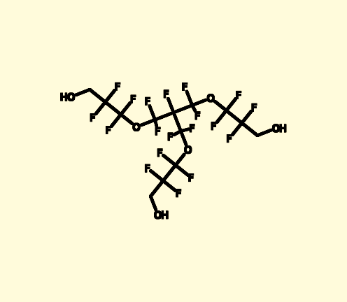 OCC(F)(F)C(F)(F)OC(F)(F)C(F)(C(F)(F)OC(F)(F)C(F)(F)CO)C(F)(F)OC(F)(F)C(F)(F)CO